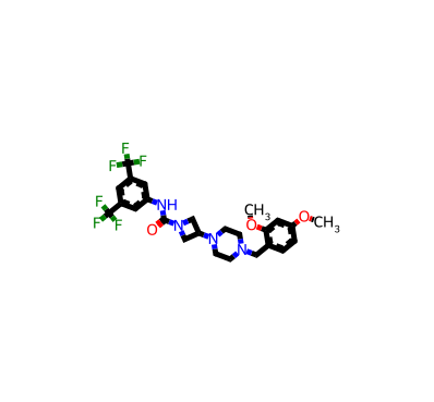 COc1ccc(CN2CCN(C3CN(C(=O)Nc4cc(C(F)(F)F)cc(C(F)(F)F)c4)C3)CC2)c(OC)c1